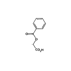 O=C(O)[CH]OC(=O)c1ccccc1